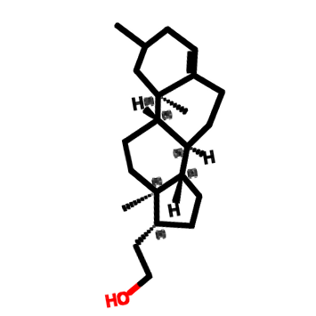 CC1CC=C2CC[C@H]3[C@@H]4CC[C@H](CCO)[C@@]4(C)CC[C@@H]3[C@@]2(C)C1